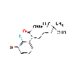 COC(=O)C(CCCC(C)(C)C=O)c1cccc(Br)c1F